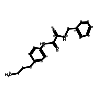 CCCCc1ccc(NC(=O)C(=S)NCc2ccccc2)cc1